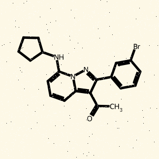 CC(=O)c1c(-c2cccc(Br)c2)nn2c(NC3CCCC3)cccc12